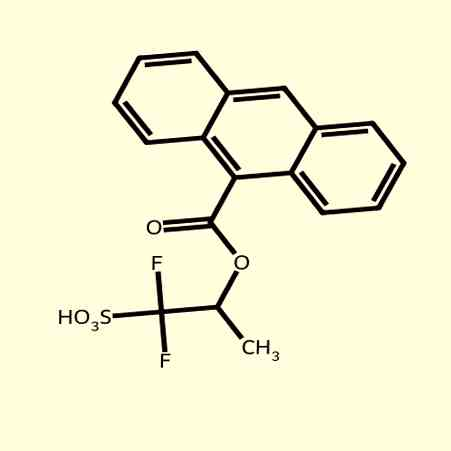 CC(OC(=O)c1c2ccccc2cc2ccccc12)C(F)(F)S(=O)(=O)O